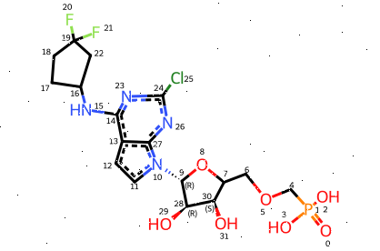 O=P(O)(O)COCC1O[C@@H](n2ccc3c(NC4CCC(F)(F)C4)nc(Cl)nc32)[C@H](O)[C@@H]1O